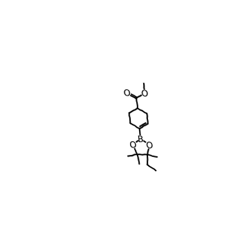 CCC1(C)OB(C2=CCC(C(=O)OC)CC2)OC1(C)C